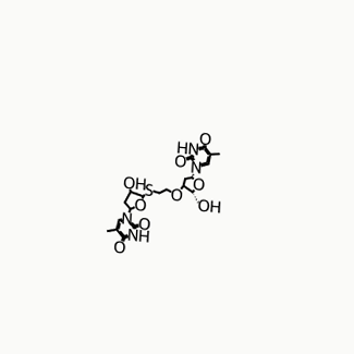 Cc1cn(C2CC(O)C(SCCOC3C[C@H](n4cc(C)c(=O)[nH]c4=O)O[C@@H]3CO)O2)c(=O)[nH]c1=O